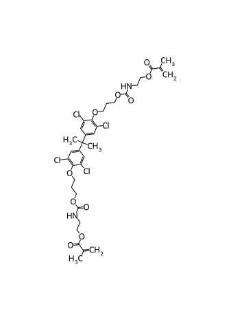 C=C(C)C(=O)OCCNC(=O)OCCCOc1c(Cl)cc(C(C)(C)c2cc(Cl)c(OCCCOC(=O)NCCOC(=O)C(=C)C)c(Cl)c2)cc1Cl